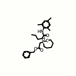 CCCC(C(=O)Nc1c(C)cc(C)cc1C)[PH]1(CC(=O)OCc2ccccc2)CCCCCC1